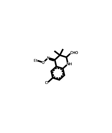 CCO/N=C1\c2cc(Cl)ccc2NC(C=O)C1(C)C